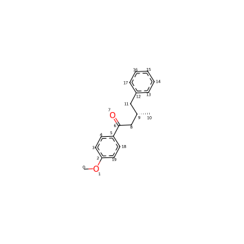 COc1ccc(C(=O)C[C@@H](C)Cc2ccccc2)cc1